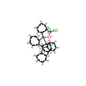 [Cl][Ti]([Cl])[O]C(c1ccccc1)(c1ccccc1)c1ccccc1C1c2ccccc2-c2ccccc21